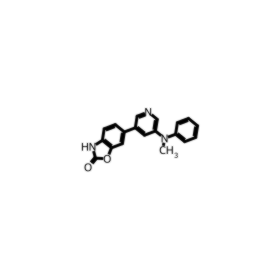 CN(c1ccccc1)c1cncc(-c2ccc3[nH]c(=O)oc3c2)c1